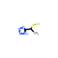 CC(SS)c1nnn[nH]1